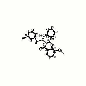 COc1cccc2c(=O)n(CCc3cccc(F)c3)c(-c3ccccc3O)nc12